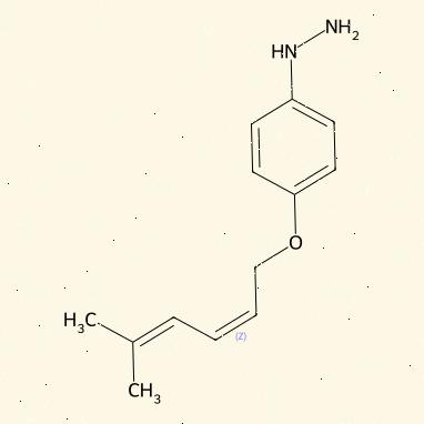 CC(C)=C/C=C\COc1ccc(NN)cc1